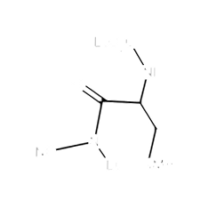 CCOC(=O)NC(CSC)C(=O)N(C#N)CC